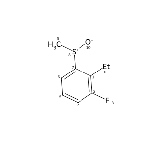 CCc1c(F)cccc1[S+](C)[O-]